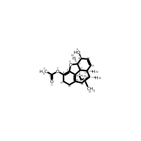 CC(=O)OC1=C2O[C@H]3[C@@H](O)C=C[C@H]4[C@H]5CC(=C2[C@]43CCN5C)CC1